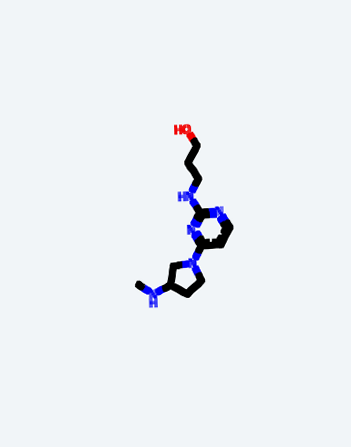 CNC1CCN(c2ccnc(NCCCO)n2)C1